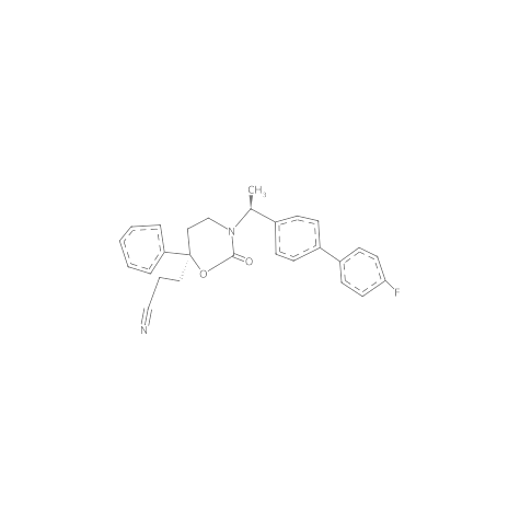 C[C@@H](c1ccc(-c2ccc(F)cc2)cc1)N1CC[C@](CCC#N)(c2ccccc2)OC1=O